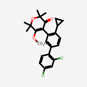 CC1(C)OC(C)(C)C(OC(=O)O)=C(c2cc(-c3ccc(Cl)cc3Cl)ccc2C2CC2)C1=O